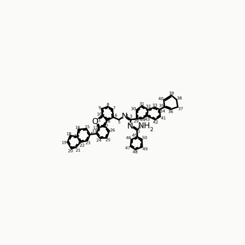 N/C(=N\C(=N/Cc1cccc2oc3c(-c4ccc5ccccc5c4)cccc3c12)c1ccc2cc(C3=CCCC=C3)ccc2c1)c1ccccc1